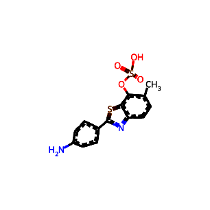 Cc1ccc2nc(-c3ccc(N)cc3)sc2c1OS(=O)(=O)O